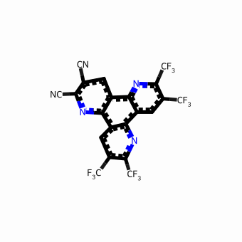 N#Cc1cc2c(nc1C#N)c1cc(C(F)(F)F)c(C(F)(F)F)nc1c1cc(C(F)(F)F)c(C(F)(F)F)nc21